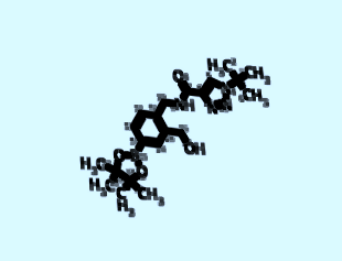 CC(C)(C)n1cc(C(=O)NCc2ccc(B3OC(C)(C)C(C)(C)O3)cc2CO)nn1